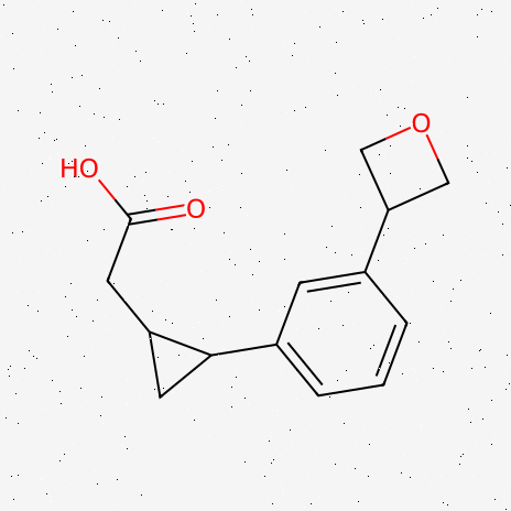 O=C(O)CC1CC1c1cccc(C2COC2)c1